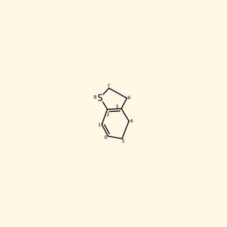 C1=CC2=C(CC1)CCS2